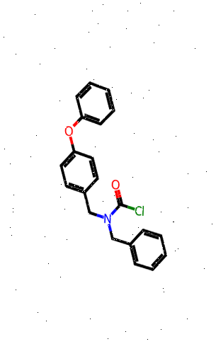 O=C(Cl)N(Cc1ccccc1)Cc1ccc(Oc2ccccc2)cc1